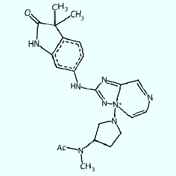 CC(=O)N(C)C1CCN([N+]23C=CN=CC2=NC(Nc2ccc4c(c2)NC(=O)C4(C)C)=N3)C1